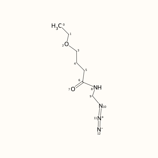 CCOCCCC(=O)NCN=[N+]=[N-]